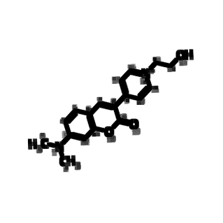 CN(C)c1ccc2cc(-c3cc[n+](CCO)cc3)c(=O)oc2c1